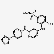 CNS(=O)(=O)c1ccc(O)c(Nc2cc(Nc3ccc(-n4cccn4)cc3)ncn2)c1